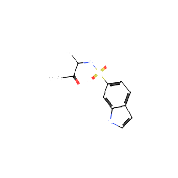 CCC(NS(=O)(=O)c1ccc2cc[nH]c2c1)C(=O)NC